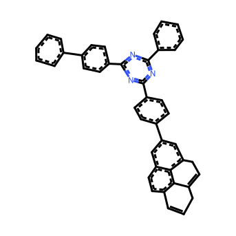 C1=Cc2ccc3cc(-c4ccc(-c5nc(-c6ccccc6)nc(-c6ccc(-c7ccccc7)cc6)n5)cc4)cc4c3c2C(=CC4)C1